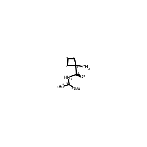 CC1(C(=O)NC(C(C)(C)C)C(C)(C)C)CCC1